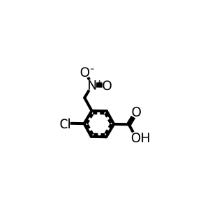 O=C(O)c1ccc(Cl)c(C[N+](=O)[O-])c1